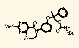 CSc1ncc2c(n1)N(C)CCN(c1cccc(OC(C)(COC(=O)NC(C)(C)C)c3ccccc3)c1)C2=O